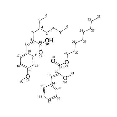 CCCCC(CC)CC(=Cc1ccc(OC)cc1)C(=O)O.CCCCCCCCOC(=O)C(=Cc1ccccc1)OC